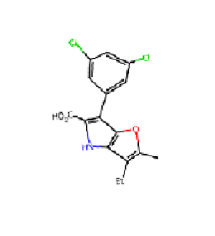 CCc1c(C)oc2c(-c3cc(Cl)cc(Cl)c3)c(C(=O)O)[nH]c12